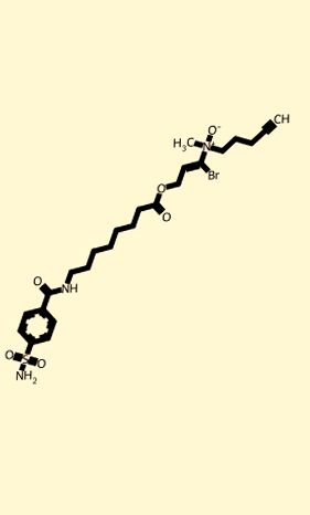 C#CCCC[N+](C)([O-])C(Br)=CCOC(=O)CCCCCCCNC(=O)c1ccc(S(N)(=O)=O)cc1